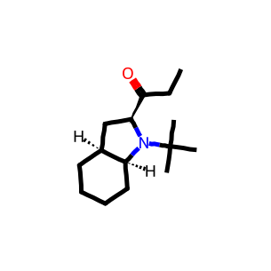 CCC(=O)[C@@H]1C[C@@H]2CCCC[C@@H]2N1C(C)(C)C